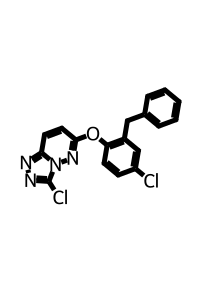 Clc1ccc(Oc2ccc3nnc(Cl)n3n2)c(Cc2ccccc2)c1